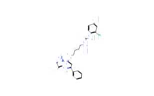 O=C(NCCCCNc1cc(-c2ccccc2Cl)nc2c(Br)cnn12)Nc1ccc(Cl)cc1C(F)(F)F